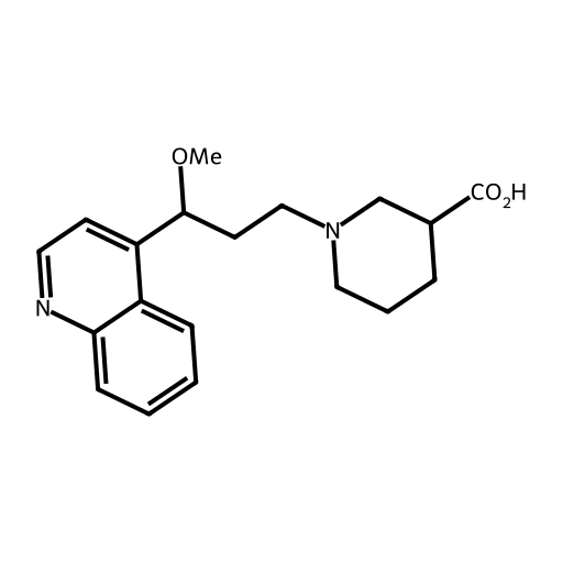 COC(CCN1CCCC(C(=O)O)C1)c1ccnc2ccccc12